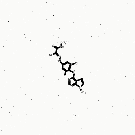 CCOC(=O)NC(=O)/C(C#N)=N/Nc1cc(Cl)c(Oc2ncnc3c2ccn3C)c(Cl)c1